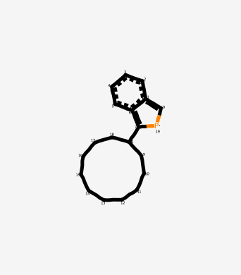 C1=c2ccccc2=C(C2CCCCCCCCCC2)[P]1